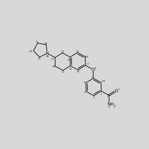 NC(=O)c1cccc(Oc2ccc3c(c2)CCC(N2CCCC2)C3)c1